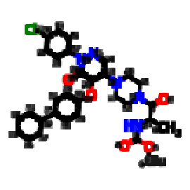 CC(NC(=O)OC(C)(C)C)C(=O)N1CCN(c2cnn(-c3ccc(Cl)cc3)c(=O)c2Oc2ccc(-c3ccccc3)cc2)CC1